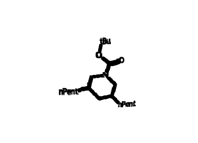 CCCCCC1CC(CCCCC)CN(C(=O)OC(C)(C)C)C1